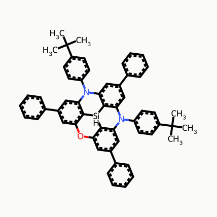 CC(C)(C)c1ccc(N2c3cc(-c4ccccc4)cc4c3[SiH]3c5c(cc(-c6ccccc6)cc5N(c5ccc(C(C)(C)C)cc5)c5cc(-c6ccccc6)cc2c53)O4)cc1